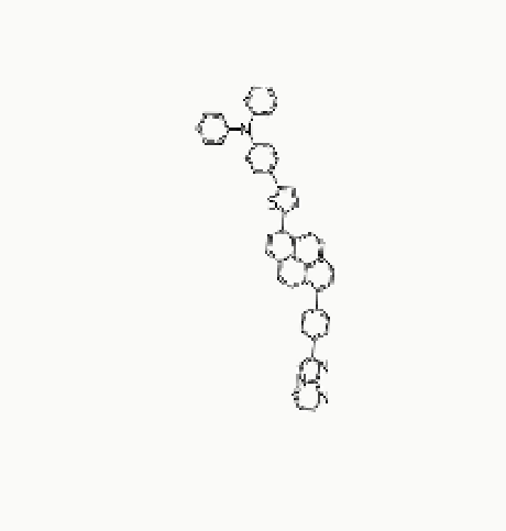 c1ccc(N(c2ccccc2)c2ccc(-c3ccc(-c4ccc5ccc6c(-c7ccc(-c8cn9cccnc9n8)cc7)ccc7ccc4c5c76)s3)cc2)cc1